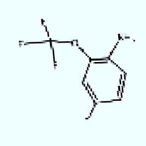 Nc1ccc(F)cc1OC(F)(F)F